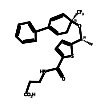 C[C@@H](O[C@]1(C(F)(F)F)C=CC(c2ccccc2)=CC1)c1ccc(C(=O)NCCC(=O)O)s1